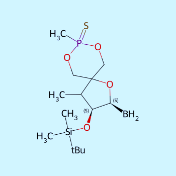 B[C@@H]1OC2(COP(C)(=S)OC2)C(C)[C@@H]1O[Si](C)(C)C(C)(C)C